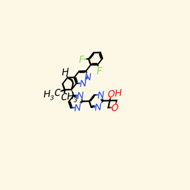 CC1(C)C[C@H]2CC[C@]1(c1ccnc(-c3cnc(C4(O)COC4)nc3)n1)c1nnc(-c3c(F)cccc3F)cc12